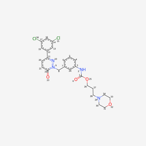 O=C(Nc1cccc(Cn2nc(-c3cc(Cl)cc(Cl)c3)ccc2=O)c1)OCCCN1CCOCC1